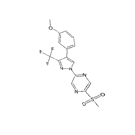 COc1cccc(-c2cn(-c3cnc(S(C)(=O)=O)cn3)nc2C(F)(F)F)c1